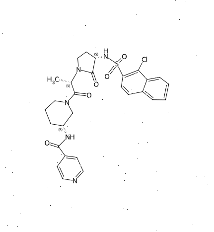 C[C@@H](C(=O)N1CCC[C@@H](NC(=O)c2ccncc2)C1)N1CC[C@H](NS(=O)(=O)c2ccc3ccccc3c2Cl)C1=O